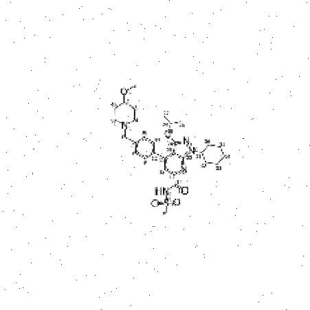 COC1CCN(Cc2ccc(-c3cc(C(=O)NS(C)(=O)=O)nc4c3c(OC(C)C)nn4C3CCCCC3)cc2)CC1